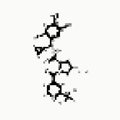 C[C@@H]1C[C@H](C(=O)N[C@@H](c2cc(F)c(Cl)cc2F)C2CC2)N(C(=O)c2ccnc(C(F)(F)F)c2)C1